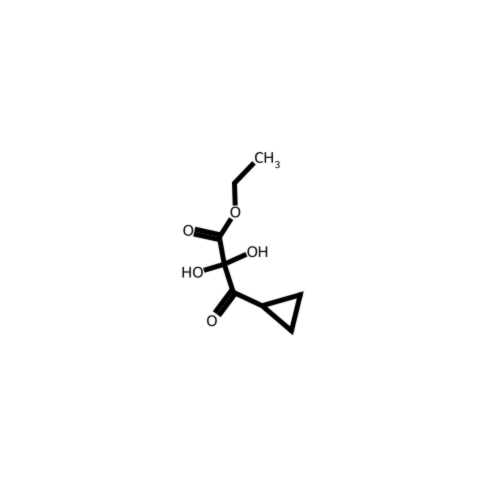 CCOC(=O)C(O)(O)C(=O)C1CC1